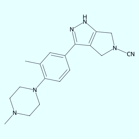 Cc1cc(-c2n[nH]c3c2CN(C#N)C3)ccc1N1CCN(C)CC1